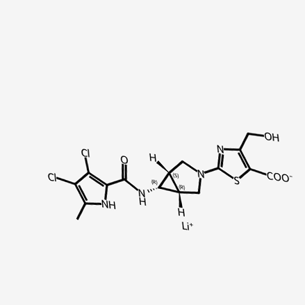 Cc1[nH]c(C(=O)N[C@@H]2[C@@H]3CN(c4nc(CO)c(C(=O)[O-])s4)C[C@@H]32)c(Cl)c1Cl.[Li+]